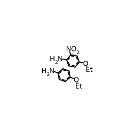 CCOc1ccc(N)c([N+](=O)[O-])c1.CCOc1ccc(N)cc1